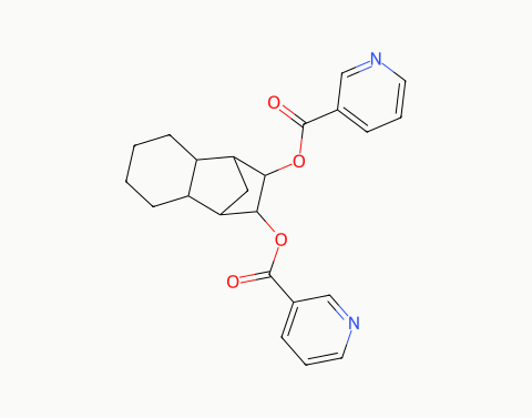 O=C(OC1C2CC(C3CCCCC32)C1OC(=O)c1cccnc1)c1cccnc1